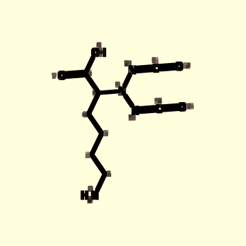 NCCCCC(C(=O)O)N(N=C=O)N=C=O